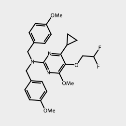 COc1ccc(CN(Cc2ccc(OC)cc2)c2nc(OC)c(OCC(F)F)c(C3CC3)n2)cc1